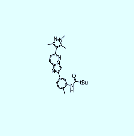 Cc1ccc(-c2cn3nc(-c4c(C)nn(C)c4C)ccc3n2)cc1NC(=O)C(C)(C)C